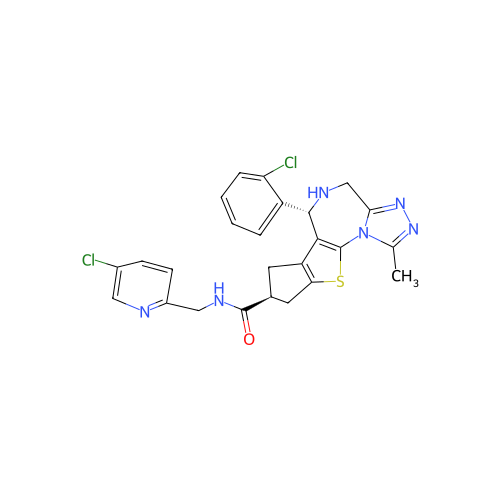 Cc1nnc2n1-c1sc3c(c1[C@H](c1ccccc1Cl)NC2)C[C@H](C(=O)NCc1ccc(Cl)cn1)C3